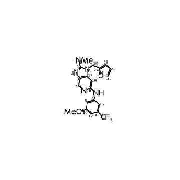 CNc1nc2cnc(Nc3cc(OC)cc(C(F)(F)F)c3)cc2n1Cc1ccco1